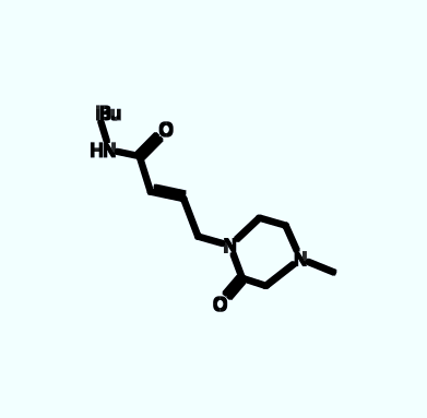 CCC(C)NC(=O)/C=C/CN1CCN(C)CC1=O